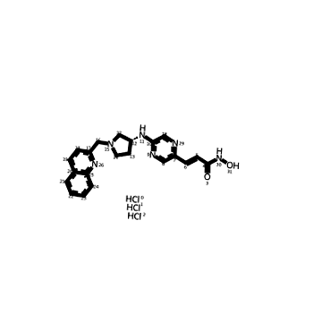 Cl.Cl.Cl.O=C(/C=C/c1cnc(N[C@@H]2CCN(Cc3ccc4ccccc4n3)C2)cn1)NO